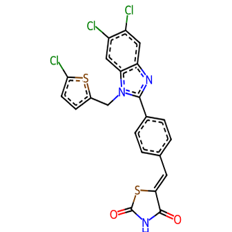 O=C1NC(=O)C(=Cc2ccc(-c3nc4cc(Cl)c(Cl)cc4n3Cc3ccc(Cl)s3)cc2)S1